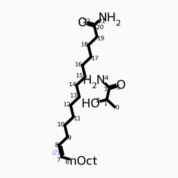 CC(O)C(N)=O.CCCCCCCC/C=C\CCCCCCCCCCCC(N)=O